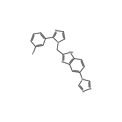 Fc1cccc(-c2nccn2Cc2nc3cc(-n4cnnc4)ccc3[nH]2)c1